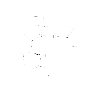 COC(=O)N[C@H](C(=O)NC1(CNC(=O)C(C)C)CCC1)C(C)C